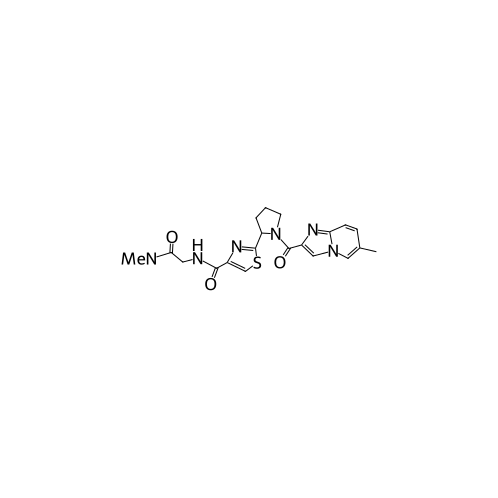 CNC(=O)CNC(=O)c1csc(C2CCCN2C(=O)c2cn3cc(C)ccc3n2)n1